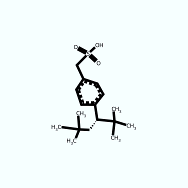 CC(C)(C)C[C@H](c1ccc(CS(=O)(=O)O)cc1)C(C)(C)C